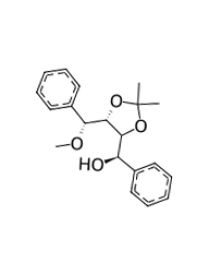 CO[C@H](c1ccccc1)[C@@H]1OC(C)(C)OC1[C@H](O)c1ccccc1